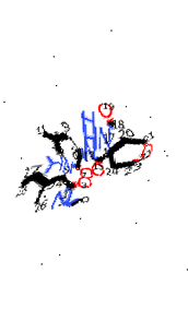 C=NC(=O)[C@@H](NC(=O)[C@H](CC(C)C)NC(=O)C1(NC=O)CCOCC1)[C@@H](C)CC